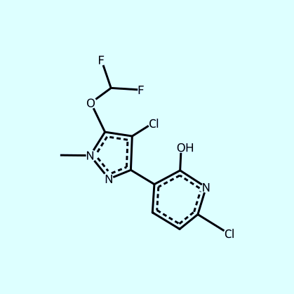 Cn1nc(-c2ccc(Cl)nc2O)c(Cl)c1OC(F)F